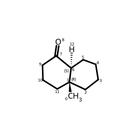 C[C@]12CCCC[C@@H]1C(=O)CCC2